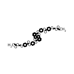 C=CC(=O)OCCOC1CCC(C(=O)OC2CCC(OC(=O)c3cccc4c3C3(CC4)CCc4cccc(C(=O)OC5CCC(OC(=O)C6CCC(OCCOC(=O)C=C)CC6)CC5)c43)CC2)CC1